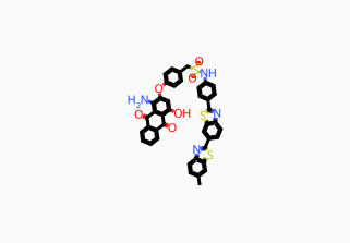 Cc1ccc2nc(-c3ccc4nc(-c5ccc(NS(=O)(=O)Cc6ccc(Oc7cc(O)c8c(c7N)C(=O)c7ccccc7C8=O)cc6)cc5)sc4c3)sc2c1